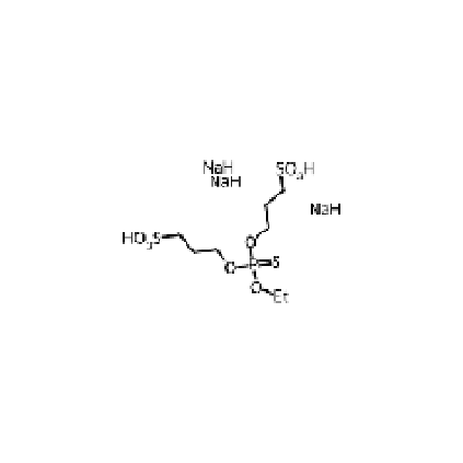 CCOP(=S)(OCCCS(=O)(=O)O)OCCCS(=O)(=O)O.[NaH].[NaH].[NaH]